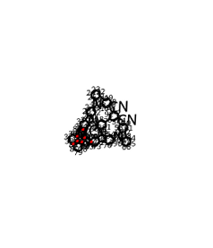 N#Cc1cc(C#N)cc(-c2cc(-n3c4cc(-n5c6ccccc6c6ccccc65)ccc4c4ccc(-n5c6ccccc6c6ccccc65)cc43)c(C#N)c(-n3c4cc(-n5c6ccccc6c6ccccc65)ccc4c4ccc(-n5c6ccccc6c6ccccc65)cc43)c2)c1